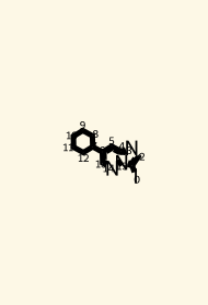 Ic1cnc2cc(C3CCCCC3)cnn12